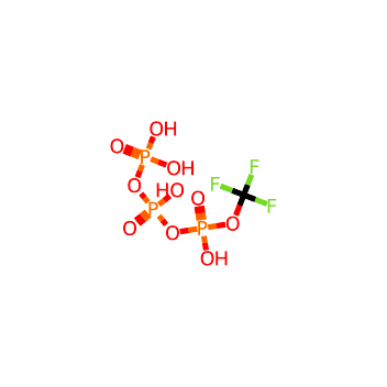 O=P(O)(O)OP(=O)(O)OP(=O)(O)OC(F)(F)F